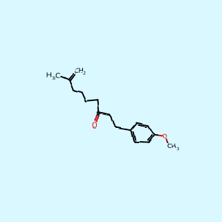 C=C(C)CCCCC(=O)CCc1ccc(OC)cc1